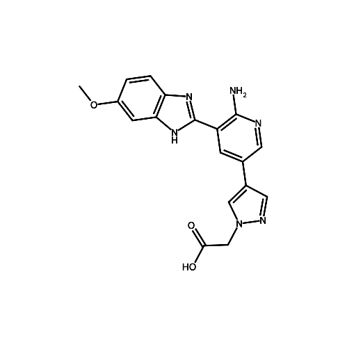 COc1ccc2nc(-c3cc(-c4cnn(CC(=O)O)c4)cnc3N)[nH]c2c1